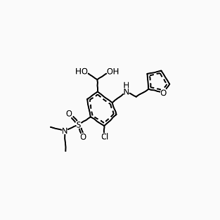 CN(C)S(=O)(=O)c1cc(C(O)O)c(NCc2ccco2)cc1Cl